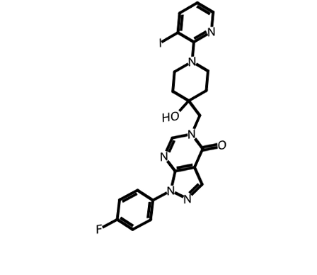 O=c1c2cnn(-c3ccc(F)cc3)c2ncn1CC1(O)CCN(c2ncccc2I)CC1